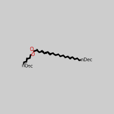 CCCCCCCCCCCCCCCCCCCCCCCCCCCCC(=O)OCCCCCCCCCCCCCCC